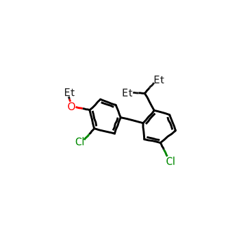 CCOc1ccc(-c2cc(Cl)ccc2C(CC)CC)cc1Cl